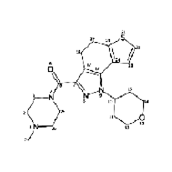 CN1CCN(C(=O)c2nn(C3CCOCC3)c3c2CCc2sccc2-3)CC1